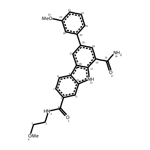 COCCNC(=O)c1ccc2c(c1)[nH]c1c(C(N)=O)cc(-c3cccc(OC)c3)cc12